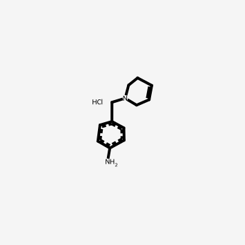 Cl.Nc1ccc(CN2CC=CCC2)cc1